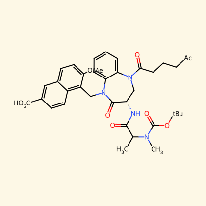 COc1ccc2cc(C(=O)O)ccc2c1CN1C(=O)[C@@H](NC(=O)C(C)N(C)C(=O)OC(C)(C)C)CN(C(=O)CCCC(C)=O)c2ccccc21